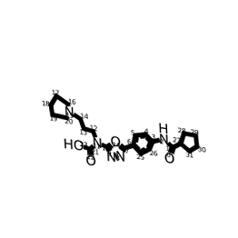 O=C(Nc1ccc(-c2nnc(N(CCCN3CCCCC3)C(=O)O)o2)cc1)C1CCCC1